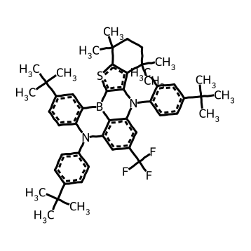 Cc1cc(C(C)(C)C)ccc1N1c2cc(C(F)(F)F)cc3c2B(c2cc(C(C)(C)C)ccc2N3c2ccc(C(C)(C)C)cc2)c2sc3c(c21)C(C)(C)CCC3(C)C